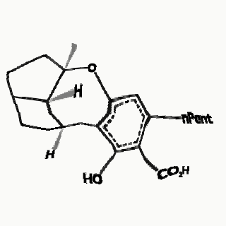 CCCCCc1cc2c(c(O)c1C(=O)O)[C@H]1CC3CC[C@@](C)(O2)[C@H]31